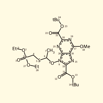 CCOP(=O)(CSC(C)On1c(C(=O)OC(C)(C)C)nc2c(OC)nc(C(=O)OC(C)(C)C)nc21)OCC